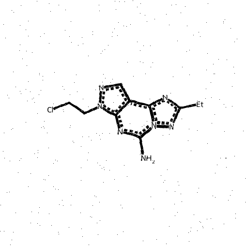 CCc1nc2c3cnn(CCCl)c3nc(N)n2n1